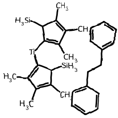 CC1=C(C)C([SiH3])[C]([Ti][C]2=C(C)C(C)=C(C)C2[SiH3])=C1C.c1ccc(CCc2ccccc2)cc1